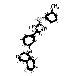 Cc1cccc(Nc2nnc(-c3cccc(Oc4cncc5ccccc45)c3)[nH]2)c1